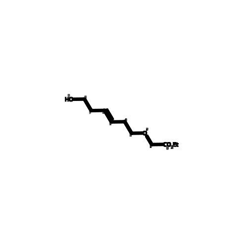 CCOC(=O)COCC/C=C/CCO